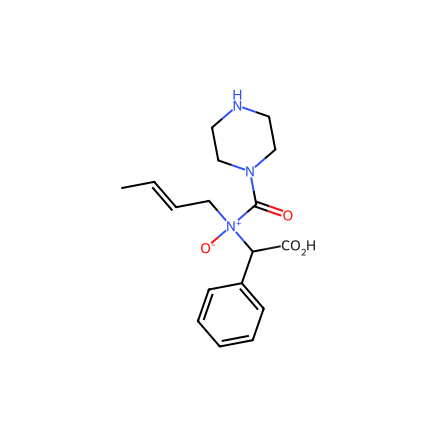 C/C=C/C[N+]([O-])(C(=O)N1CCNCC1)C(C(=O)O)c1ccccc1